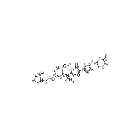 CN1C(=O)[C@@H](NC(=O)n2cc(Cc3cccc(F)c3)cn2)COc2ccc(OCCN3CCCC3=O)cc21